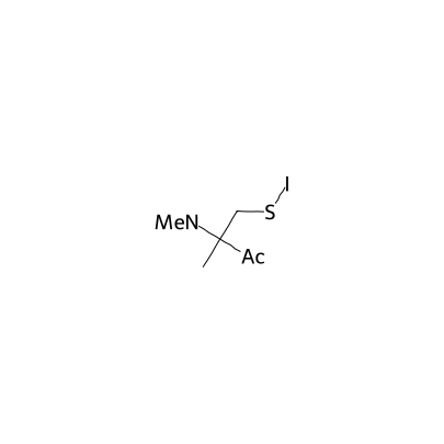 CNC(C)(CSI)C(C)=O